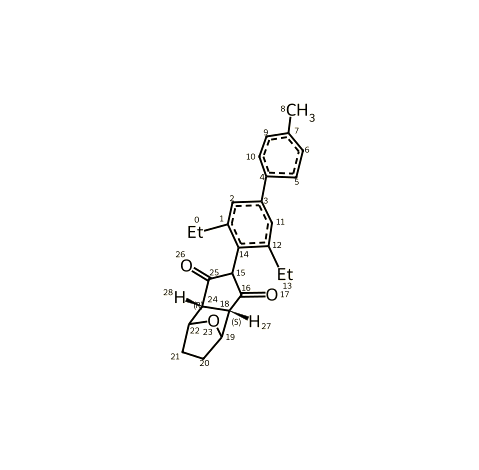 CCc1cc(-c2ccc(C)cc2)cc(CC)c1C1C(=O)[C@@H]2C3CCC(O3)[C@@H]2C1=O